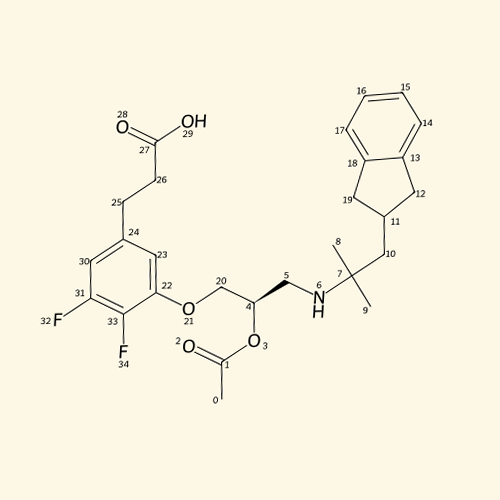 CC(=O)O[C@H](CNC(C)(C)CC1Cc2ccccc2C1)COc1cc(CCC(=O)O)cc(F)c1F